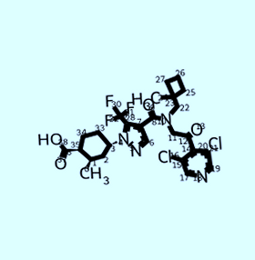 C[C@@H]1C[C@@H](n2ncc(C(=O)N(CC(=O)c3c(Cl)cncc3Cl)CC3(C)CCC3)c2C(F)(F)F)CC[C@@H]1C(=O)O